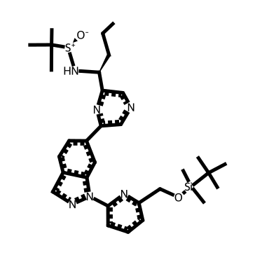 CCC[C@H](N[S@+]([O-])C(C)(C)C)c1cncc(-c2ccc3cnn(-c4cccc(CO[Si](C)(C)C(C)(C)C)n4)c3c2)n1